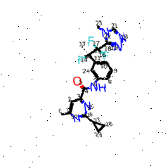 Cc1cc(C(=O)Nc2cccc([C@@](C)(F)C(F)(F)c3nncn3C)c2)nc(C2CC2)n1